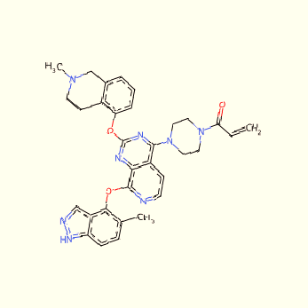 C=CC(=O)N1CCN(c2nc(Oc3cccc4c3CCN(C)C4)nc3c(Oc4c(C)ccc5[nH]ncc45)nccc23)CC1